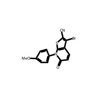 COc1ccc(-n2c(=O)ccc3c(Br)c(C#N)sc32)cc1